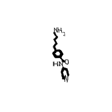 NCCCCCc1ccc(C(=O)Nc2ccncc2)cc1